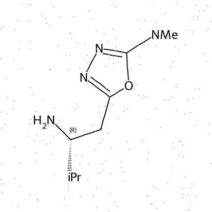 CNc1nnc(C[C@@H](N)C(C)C)o1